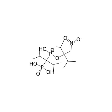 CC(C)C(C[N+](=O)[O-])(OP(=O)(O)C(C(C)C)(C(C)C)P(=O)(O)O)C(C)C